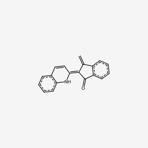 C=C1/C(=C2\C=Cc3ccccc3N2)C(=O)c2ccccc21